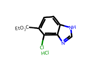 CCOC(=O)c1ccc2[nH]cnc2c1Cl.Cl